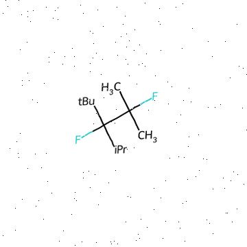 CC(C)C(F)(C(C)(C)C)C(C)(C)F